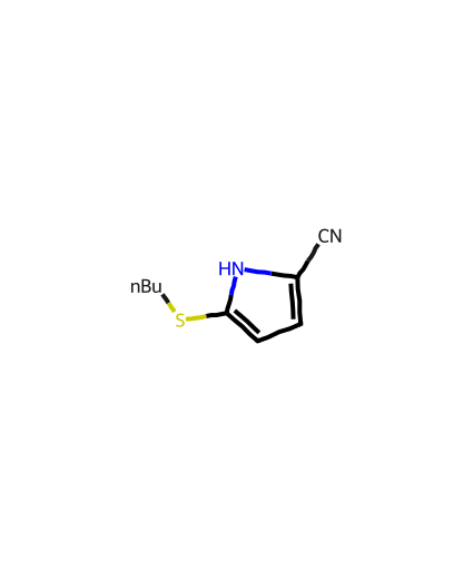 CCCCSc1ccc(C#N)[nH]1